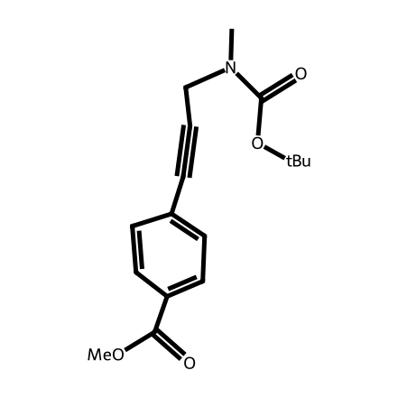 COC(=O)c1ccc(C#CCN(C)C(=O)OC(C)(C)C)cc1